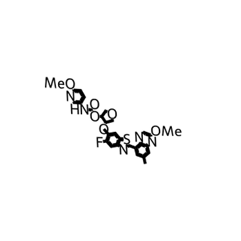 COc1ccc(NC(=O)OC2COCC2Oc2cc3sc(-c4cc(C)cc5nc(OC)cnc45)nc3cc2F)cn1